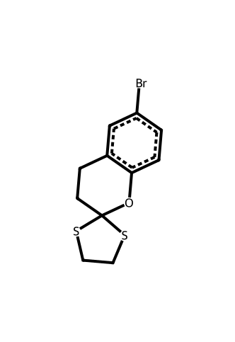 Brc1ccc2c(c1)CCC1(O2)SCCS1